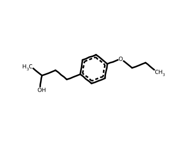 CCCOc1ccc(CCC(C)O)cc1